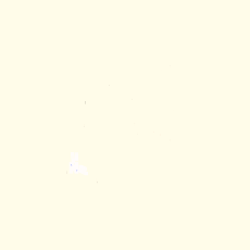 O=C(O)C1(CI)CCc2cnccc2C1=O